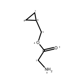 NCC(=O)OCC1CC1